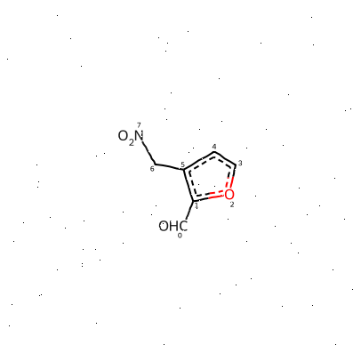 O=Cc1occc1C[N+](=O)[O-]